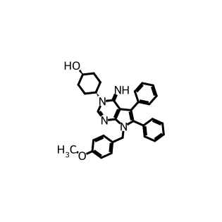 COc1ccc(Cn2c(-c3ccccc3)c(-c3ccccc3)c3c(=N)n([C@H]4CC[C@H](O)CC4)cnc32)cc1